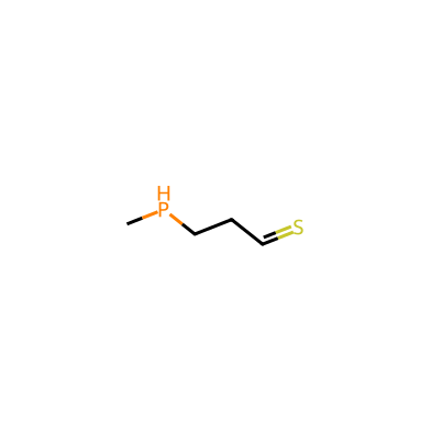 CPCCC=S